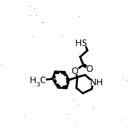 Cc1ccc(C2(OC(=O)CCS)CCCNC2)cc1